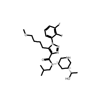 COCCCCc1c(C(=O)N(CC(C)C)[C@@H]2CNC[C@H](C(C)O)C2)nnn1-c1cccc(F)c1F